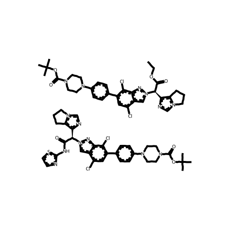 CC(C)(C)OC(=O)N1CCN(c2ccc(-c3cc(Cl)c4cn([C@@H](C(=O)Nc5nccs5)c5ncn6c5CCC6)nc4c3Cl)cc2)CC1.CCOC(=O)[C@@H](c1ncn2c1CCC2)n1cc2c(Cl)cc(-c3ccc(N4CCN(C(=O)OC(C)(C)C)CC4)cc3)c(Cl)c2n1